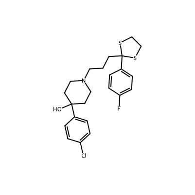 OC1(c2ccc(Cl)cc2)CCN(CCCC2(c3ccc(F)cc3)SCCS2)CC1